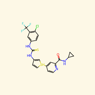 O=C(NC1CC1)c1cc([SH]2C=CC(NC(=S)Nc3ccc(Cl)c(C(F)(F)F)c3)=C2)ccn1